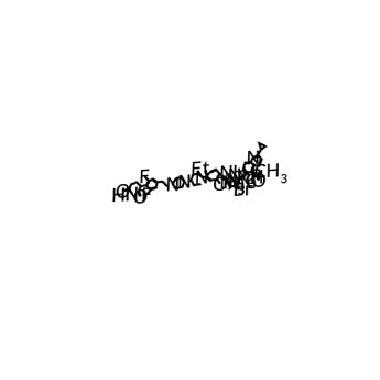 CCc1cc(Nc2ncc(Br)c(Nc3ccc4nc(C5CC5)ccc4c3P(C)(C)=O)n2)c(OC)cc1N1CCC(N2CCN(CCc3cc(F)c(C4CCC(=O)NC4=O)c(F)c3)CC2)CC1